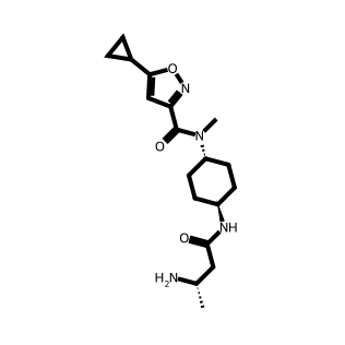 C[C@H](N)CC(=O)N[C@H]1CC[C@H](N(C)C(=O)c2cc(C3CC3)on2)CC1